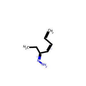 C=C/C=C\C(CC)=N/N